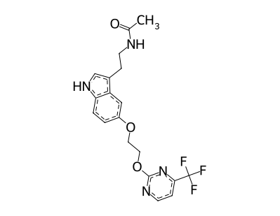 CC(=O)NCCc1c[nH]c2ccc(OCCOc3nccc(C(F)(F)F)n3)cc12